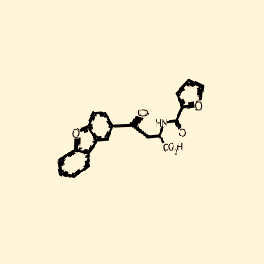 O=C(CC(NC(=O)c1ccco1)C(=O)O)c1ccc2oc3ccccc3c2c1